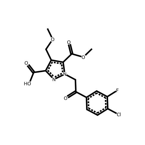 COCc1c(C(=O)O)nn(CC(=O)c2ccc(Cl)c(F)c2)c1C(=O)OC